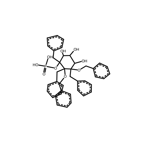 O=P(O)(O)OC1(Cc2ccccc2)C(O)C(O)C(O)C(Cc2ccccc2)(OCc2ccccc2)C1(Cc1ccccc1)OCc1ccccc1